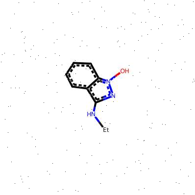 CCNc1nn(O)c2ccccc12